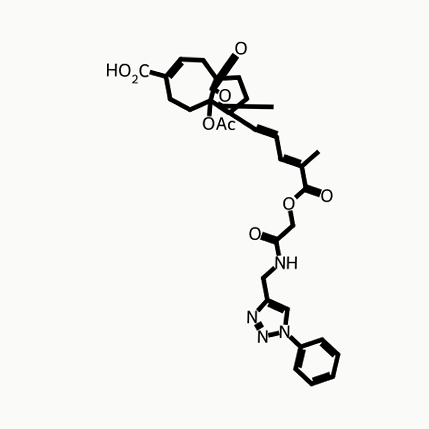 CC(=O)OC12CCC(C(=O)O)=CCC13CCC2C(C)(/C=C/C=C(\C)C(=O)OCC(=O)NCc1cn(-c2ccccc2)nn1)OC3=O